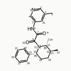 Cc1cncc(NC(=O)C(=O)N2[C@@H](c3ccccc3)CC[C@H](C)[C@H]2C)c1